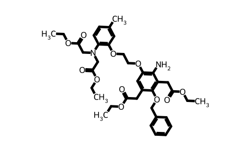 CCOC(=O)Cc1cc(OCCOc2cc(C)ccc2N(CC(=O)OCC)CC(=O)OCC)c(N)c(CC(=O)OCC)c1OCc1ccccc1